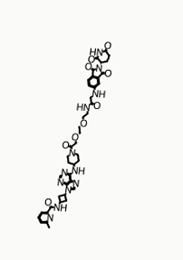 Cc1cccc(C(=O)NC2CC(n3cnc4c(NC5CCN(C(=O)COCCOCCNC(=O)CNc6ccc7c(c6)C(=O)N([C@H]6CCC(=O)NC6=O)C7=O)CC5)ncnc43)C2)n1